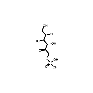 O=C(COP(=O)(O)O)[C@@H](O)[C@@H](O)[C@H](O)CO